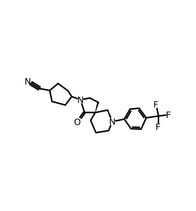 N#CC1CCC(N2CC[C@@]3(CCCN(c4ccc(C(F)(F)F)cc4)C3)C2=O)CC1